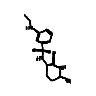 CCNc1cccc(S(=O)(=O)NC2CCC(O)NC2=O)c1